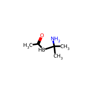 CC(=O)BC(C)(C)N